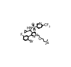 C[Si](C)(C)CCOCn1cc([C@H](NS(=O)(=O)c2ccc(C(F)(F)F)nc2)C2CC2)c(-c2cc(F)ccc2Br)n1